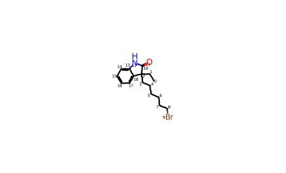 CCC1(CCCCCCBr)C(=O)Nc2ccccc21